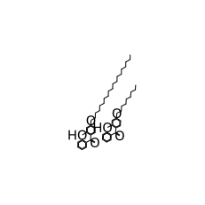 CCCCCCCCCCCCCCCCCCOc1ccc(C(=O)c2ccccc2)c(O)c1.CCCCCCCCOc1ccc(C(=O)c2ccccc2)c(O)c1